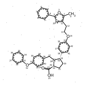 Cc1oc(-c2ccccc2)nc1CCOc1ccc([C@@H]2CC[C@@H](C(=O)O)N2Cc2ccc(Oc3ccccc3)cc2)cc1